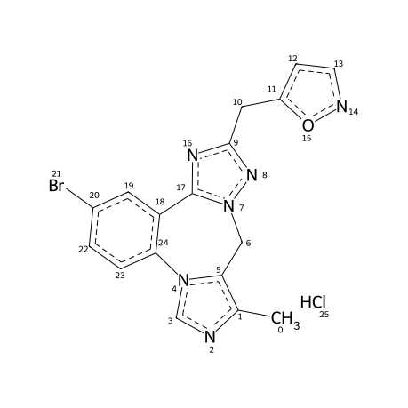 Cc1ncn2c1Cn1nc(Cc3ccno3)nc1-c1cc(Br)ccc1-2.Cl